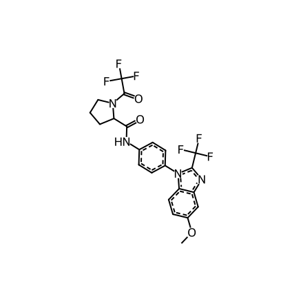 COc1ccc2c(c1)nc(C(F)(F)F)n2-c1ccc(NC(=O)C2CCCN2C(=O)C(F)(F)F)cc1